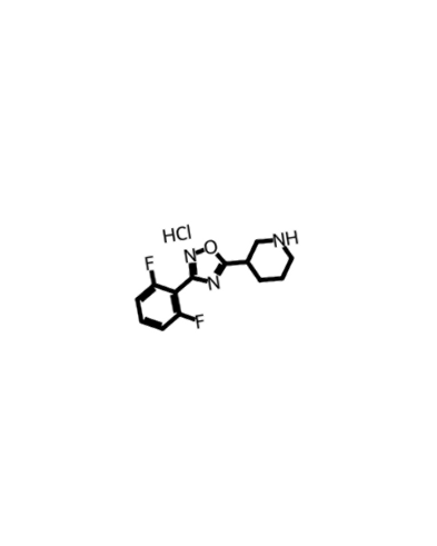 Cl.Fc1cccc(F)c1-c1noc(C2CCCNC2)n1